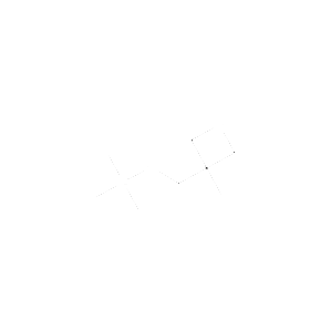 CC1(CO[Si](C)(C)C)COC1